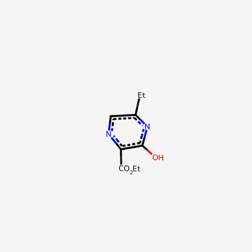 CCOC(=O)c1ncc(CC)nc1O